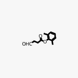 Cc1cccc(C)c1OC(=O)CCC=O